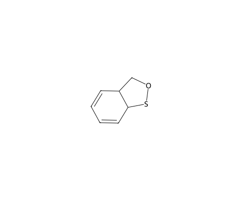 C1=CC2COSC2C=C1